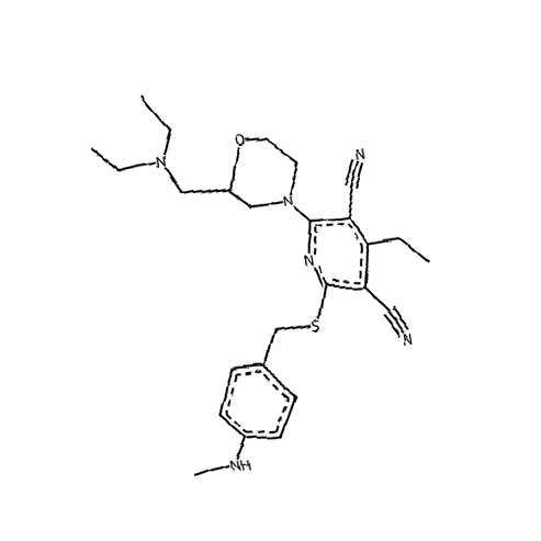 CCc1c(C#N)c(SCc2ccc(NC)cc2)nc(N2CCOC(CN(CC)CC)C2)c1C#N